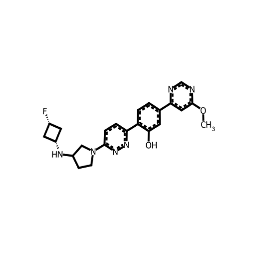 COc1cc(-c2ccc(-c3ccc(N4CCC(N[C@H]5C[C@@H](F)C5)C4)nn3)c(O)c2)ncn1